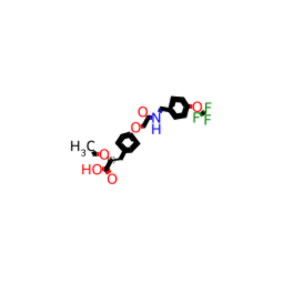 CCO[C@@H](Cc1ccc(OCC(=O)NCc2ccc(OC(F)(F)F)cc2)cc1)C(=O)O